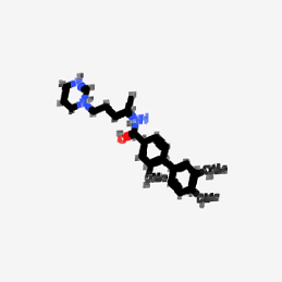 COc1ccc(-c2ccc(C(=O)NC(C)CCCN3C=NC=CC3)cc2OC)cc1OC